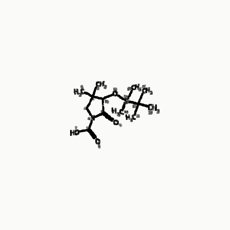 CC1(C)CN(C(=O)O)C(=O)C1O[Si](C)(C)C(C)(C)C